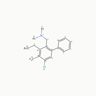 CCN(Cc1c(-c2ccccc2)cc(Cl)c(C(F)(F)F)c1COC(C)=O)C(C)=O